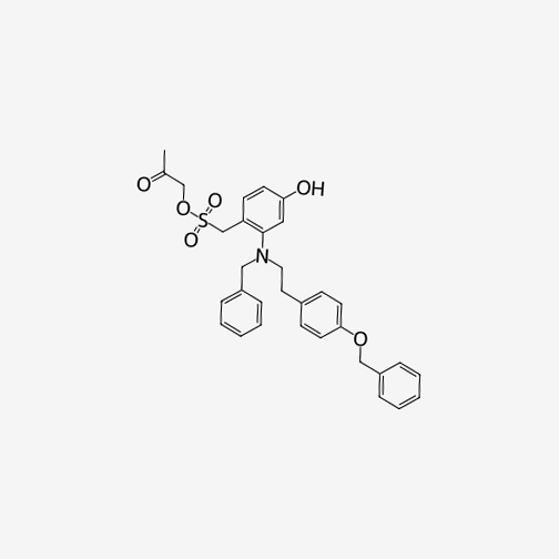 CC(=O)COS(=O)(=O)Cc1ccc(O)cc1N(CCc1ccc(OCc2ccccc2)cc1)Cc1ccccc1